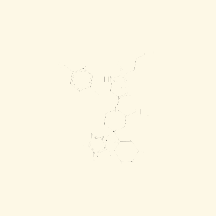 CCCS(=O)(=O)N[C@@H](Cc1ccc(Cl)cc1)C(=O)N1CCC(C2CCCCC2)(n2cncn2)CC1C